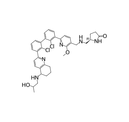 COc1nc(-c2cccc(-c3cccc(-c4ccc5c(n4)CCCC5NCC(C)O)c3Cl)c2Cl)ccc1CNC[C@H]1CCC(=O)N1